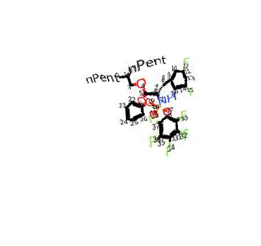 CCCCCC(CCCCC)COC(=O)[C@H](Cc1cc(F)cc(F)c1)N[P@](=O)(Oc1ccccc1)Oc1c(F)c(F)c(F)c(F)c1F